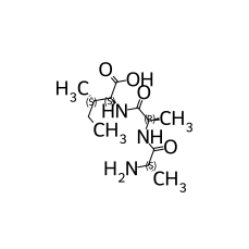 CC[C@H](C)[C@H](NC(=O)[C@@H](C)NC(=O)[C@H](C)N)C(=O)O